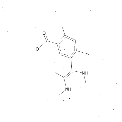 CN/C(C)=C(\NC)c1cc(C(=O)O)c(C)cc1C